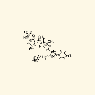 Br.Cc1nc(-c2ccc(Cl)cc2)nn1CCC(C)(C)NC[C@H](O)c1cc(O)cc2c1OCC(=O)N2.O.O